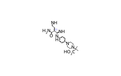 CC(C)(C(=O)O)N1CCN(c2ccc(NC(=N)/C(=C/C=N)C(N)=O)cc2)CC1